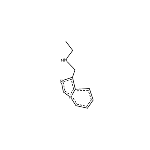 CCNCc1ncn2ccccc12